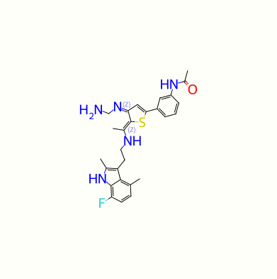 CC(=O)Nc1cccc(C2=CC(=N/CN)/C(=C(\C)NCCc3c(C)[nH]c4c(F)ccc(C)c34)S2)c1